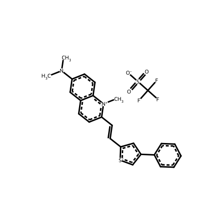 CN(C)c1ccc2c(ccc(C=Cc3cc(-c4ccccc4)cs3)[n+]2C)c1.O=S(=O)([O-])C(F)(F)F